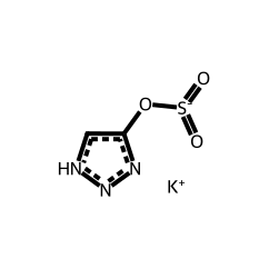 O=[S-](=O)Oc1c[nH]nn1.[K+]